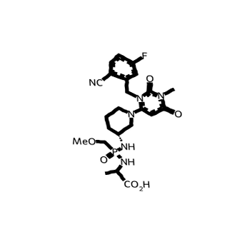 COCP(=O)(NC(C)C(=O)O)N[C@@H]1CCCN(c2cc(=O)n(C)c(=O)n2Cc2cc(F)ccc2C#N)C1